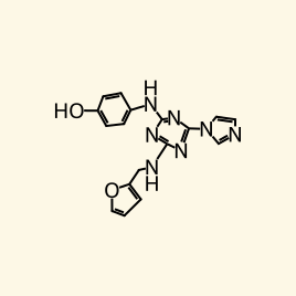 Oc1ccc(Nc2nc(NCc3ccco3)nc(-n3ccnc3)n2)cc1